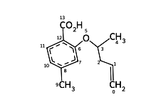 C=CCC(C)Oc1cc(C)ccc1C(=O)O